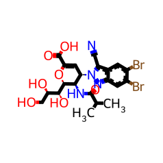 CC(C)C(=O)N[C@H]1[C@H]([C@H](O)[C@H](O)CO)OC(C(=O)O)=C[C@@H]1n1nc2cc(Br)c(Br)cc2c1C#N